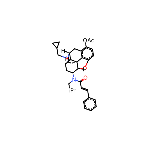 CC(=O)Oc1ccc2c3c1C[C@@H]1[C@@H]4CC[C@H](N(CC(C)C)C(=O)C=Cc5ccccc5)[C@H](O2)[C@]34CCN1CC1CC1